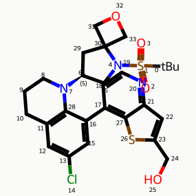 CC(C)(C)S(=O)(=O)N1C[C@@H](N2CCCc3cc(Cl)cc(-c4ccnc5cc(CO)sc45)c32)CC12COC2